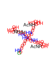 CC(=O)N[C@@H]1[C@@H](O)[C@@H](O)[C@@H](CO)O[C@@H]1CCCOCCOCCNC(=O)CCOCC(COCCC(=O)NCCOCCOCCC[C@H]1O[C@H](CO)[C@H](O)[C@H](O)[C@H]1NC(C)=O)(COCCC(=O)NCCOCCOCCC[C@H]1O[C@H](CO)[C@H](O)[C@H](O)[C@H]1NC(C)=O)NC(=O)CCOCCOCCOCCOCCNC(=O)CCl